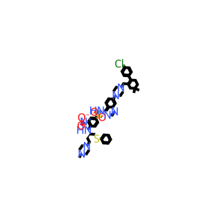 CN1CCN(CC[C@H](CSc2ccccc2)Nc2ccc(S(=O)(=O)Nc3ncnc4cc(N5CCN(CC6=C(c7ccc(Cl)cc7)CCC(C)(C)C6)CC5)ccc34)cc2[N+](=O)[O-])CC1